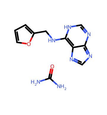 NC(N)=O.c1coc(CNc2[nH]cnc3ncnc2-3)c1